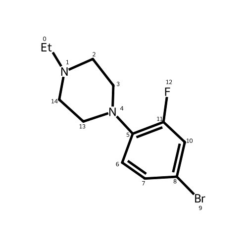 CCN1CCN(c2ccc(Br)cc2F)CC1